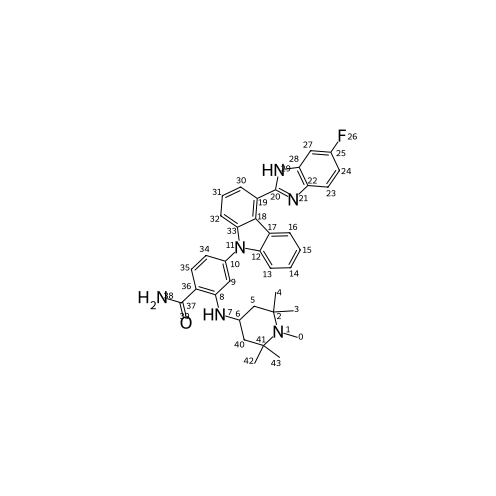 CN1C(C)(C)CC(Nc2cc(-n3c4ccccc4c4c(-c5nc6ccc(F)cc6[nH]5)cccc43)ccc2C(N)=O)CC1(C)C